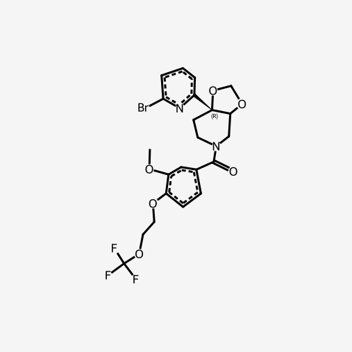 COc1cc(C(=O)N2CC[C@]3(c4cccc(Br)n4)OCOC3C2)ccc1OCCOC(F)(F)F